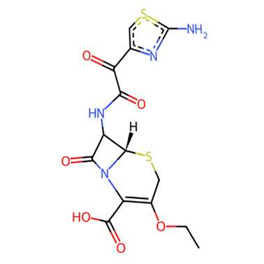 CCOC1=C(C(=O)O)N2C(=O)C(NC(=O)C(=O)c3csc(N)n3)[C@@H]2SC1